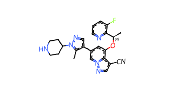 Cc1c(-c2cc(O[C@H](C)c3ncccc3F)c3c(C#N)cnn3c2)cnn1C1CCNCC1